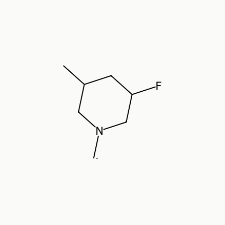 [CH2]N1CC(C)CC(F)C1